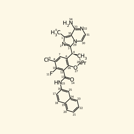 Cc1nc([C@@H](C)c2cc(Cl)c(F)c(C(=O)Nc3ccc4ccccc4c3)c2OC(C)C)n2ccnc(N)c12